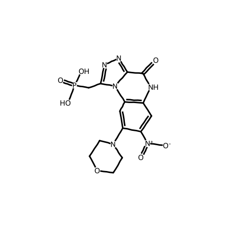 O=c1[nH]c2cc([N+](=O)[O-])c(N3CCOCC3)cc2n2c(CP(=O)(O)O)nnc12